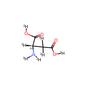 [2H]OC(=O)C([2H])([2H])[C@@]([2H])(C(=O)O[2H])N([2H])[2H]